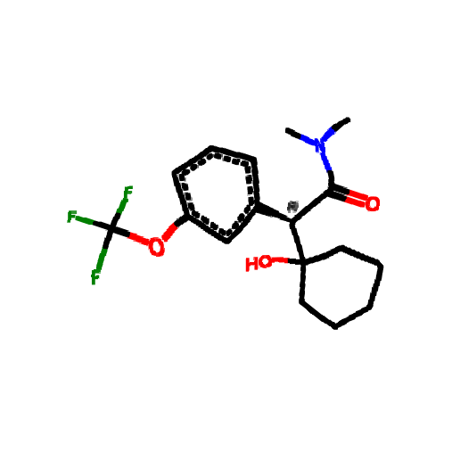 CN(C)C(=O)[C@H](c1cccc(OC(F)(F)F)c1)C1(O)CCCCC1